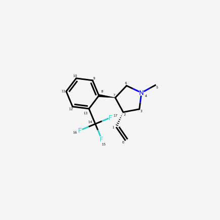 C=C[C@H]1CN(C)C[C@@H]1c1ccccc1C(F)(F)F